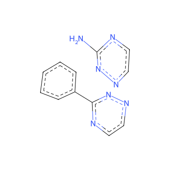 Nc1nccnn1.c1ccc(-c2nccnn2)cc1